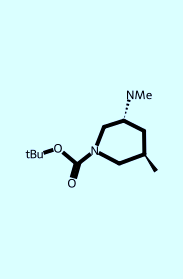 CN[C@@H]1C[C@@H](C)CN(C(=O)OC(C)(C)C)C1